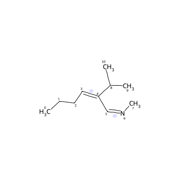 CCC/C=C(\C=N/C)C(C)C